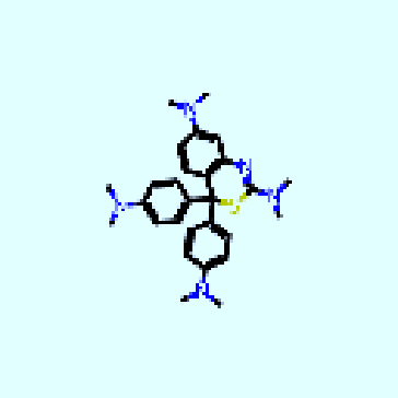 CN(C)C1=Nc2cc(N(C)C)ccc2C(c2ccc(N(C)C)cc2)(c2ccc(N(C)C)cc2)S1